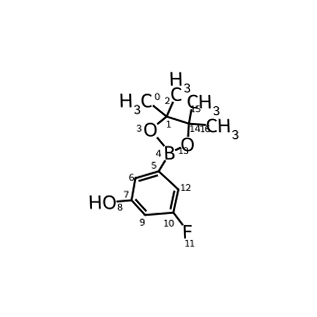 CC1(C)OB(c2cc(O)cc(F)c2)OC1(C)C